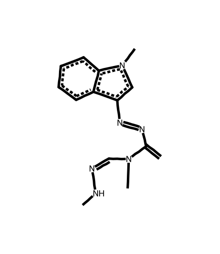 C=C(N=Nc1cn(C)c2ccccc12)N(C)/C=N\NC